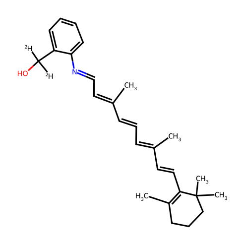 [2H]C([2H])(O)c1ccccc1/N=C/C=C(C)/C=C/C=C(C)/C=C/C1=C(C)CCCC1(C)C